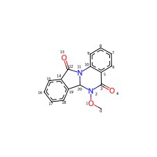 CON1C(=O)c2ccccc2N2C(=O)c3ccccc3C12